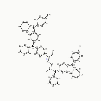 C=C/C(=C\CC(C)N(C1=CC2c3ccccc3N(c3ccc(F)cc3)C2C=C1)c1ccccc1)c1ccc(N(C2=CCCC=C2)c2ccc3c(c2)C2CCCCC2N3C2C=CC(F)=CC2)cc1